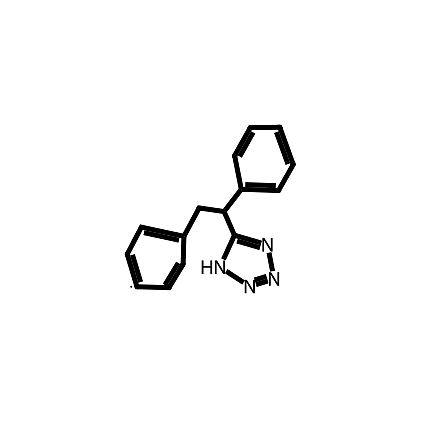 [c]1ccc(CC(c2ccccc2)c2nnn[nH]2)cc1